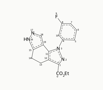 CCOC(=O)c1nn(-c2cccc(F)c2)c2c1CCc1[nH]ncc1-2